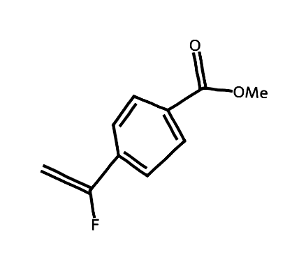 C=C(F)c1ccc(C(=O)OC)cc1